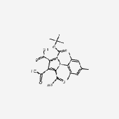 Cc1cc(C)c(-n2c(C(=O)O)c(C(=O)O)c(C(=O)O)c2C(=O)OC(C)(C)C)c(C)c1